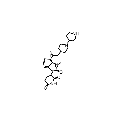 CN(CC1CCN(C2CCNCC2)CC1)c1cccc2c1n(C)c(=O)n2C1CCC(=O)NC1=O